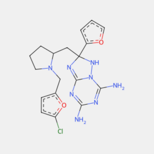 NC1=NC2=NC(CC3CCCN3Cc3ccc(Cl)o3)(c3ccco3)NN2C(N)=N1